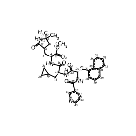 COC(=O)[C@H](C[C@@H]1CC(C)(C)NC1=O)NC(=O)[C@H](CC1CC1)NC(=O)[C@H](Cc1cccc2ccccc12)NC(=O)c1cnccn1